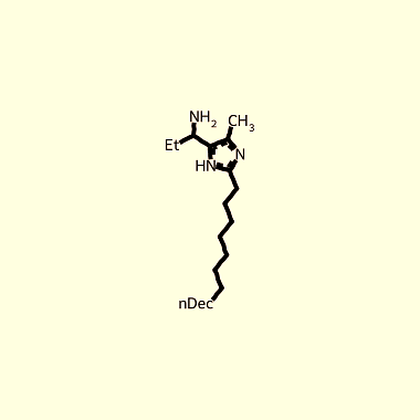 CCCCCCCCCCCCCCCCCc1nc(C)c(C(N)CC)[nH]1